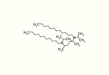 CCCCCCCCCCCCN(C(C)C)C(C)CCC(C)N(CCCCCCCCCCC)C(C)C